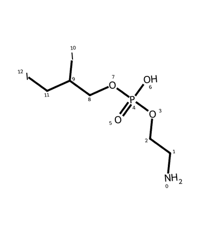 NCCOP(=O)(O)OCC(I)CI